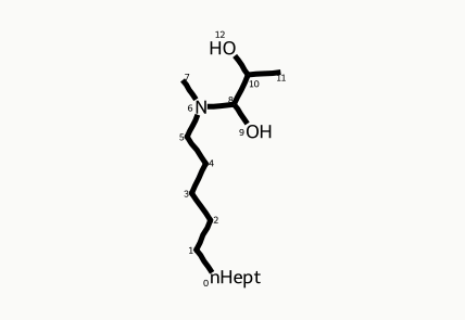 CCCCCCCCCCCCN(C)C(O)C(C)O